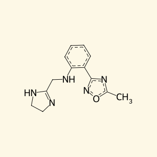 Cc1nc(-c2ccccc2NCC2=NCCN2)no1